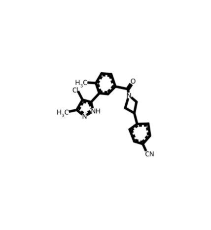 Cc1ccc(C(=O)N2CC(c3ccc(C#N)cc3)C2)cc1-c1[nH]nc(C)c1Cl